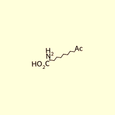 CC(=O)CCCCCCCC(N)C(=O)O